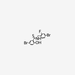 Oc1ccc(Br)cc1C(=S)NCc1ccc(Br)cc1F